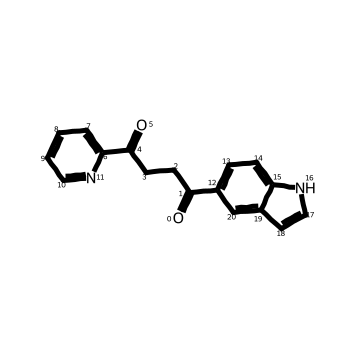 O=C(CCC(=O)c1ccccn1)c1ccc2[nH]ccc2c1